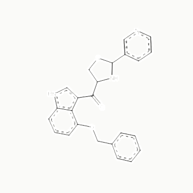 O=C(c1c[nH]c2cccc(OCc3ccccc3)c12)C1CSC(c2cccnc2)N1